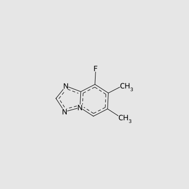 Cc1cn2ncnc2c(F)c1C